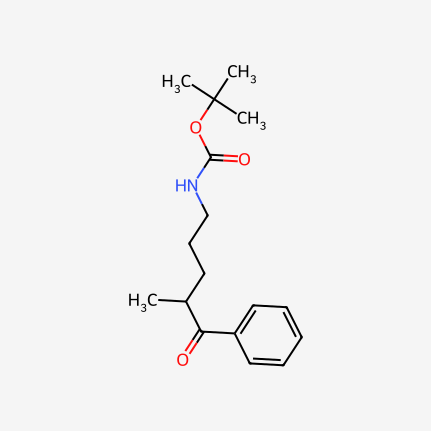 CC(CCCNC(=O)OC(C)(C)C)C(=O)c1ccccc1